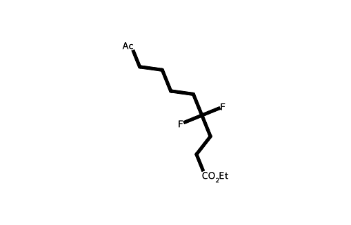 CCOC(=O)CCC(F)(F)CCCCC(C)=O